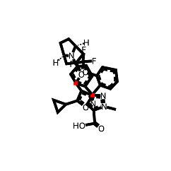 Cn1nc(-c2ccc(N3[C@@H]4CC[C@H]3CC(OCc3c(-c5ccccc5OC(F)(F)F)noc3C3CC3)C4)cc2)cc1C(=O)O